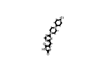 CCN1CCC(N2CCN(c3ncnc(C=C4SC(=O)NC4=O)n3)CC2)CC1